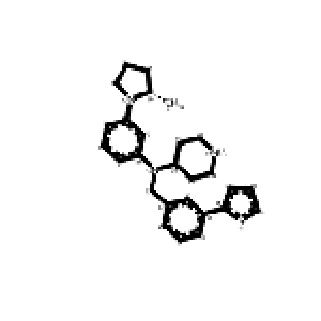 C[C@H]1CCCN1c1cccc(N(Cc2cccc(-c3cccs3)c2)C2CCNCC2)c1